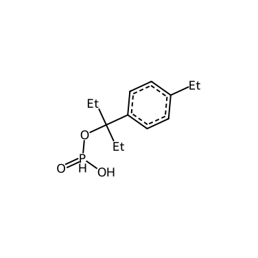 CCc1ccc(C(CC)(CC)O[PH](=O)O)cc1